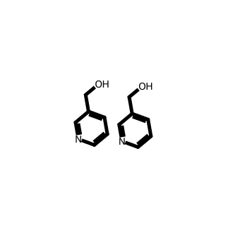 OCc1cccnc1.OCc1cccnc1